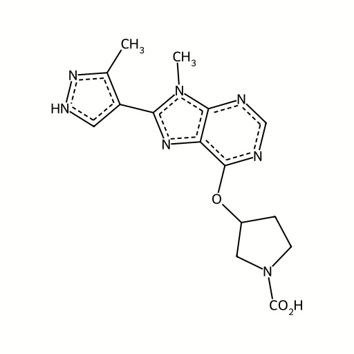 Cc1n[nH]cc1-c1nc2c(OC3CCN(C(=O)O)C3)ncnc2n1C